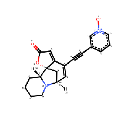 O=C1C=C2C(C#Cc3ccc[n+]([O-])c3)=C[C@@H]3C[C@@]2(O1)[C@H]1CCCCN31